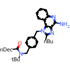 CCCCCCCCCCC(=O)N(Cc1ccc(Cn2c(CCCC)nc3c(N)nc4ccccc4c32)cc1)C(C)(C)C